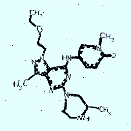 CCOCCn1nc(C)c2nc(N3CCN[C@H](C)C3)nc(Nc3ccc(=O)n(C)c3)c21